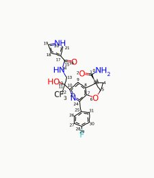 NC(=O)[C@@]12CC1Oc1c2cc(C(O)(CNC(=O)c2cc[nH]c2)C(F)(F)F)nc1-c1ccc(F)cc1